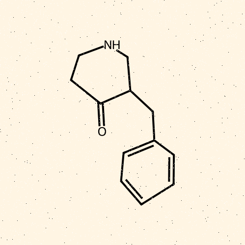 O=C1CCNCC1Cc1ccccc1